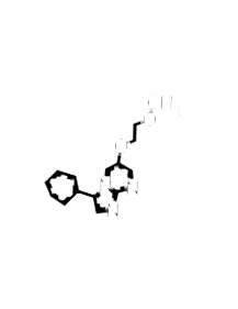 COCCOc1cnc2ncc(-c3ccccc3)n2c1